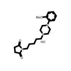 COc1ccccc1N1CCN(CCCCCN2C(=O)CCC2=O)CC1.Cl